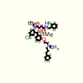 COc1c(OCCN(C)CCCc2ccccc2)cccc1C1OC(CC(=O)NCc2ccccc2F)C(=O)N(CC(C)(C)C)c2ccc(Cl)cc21